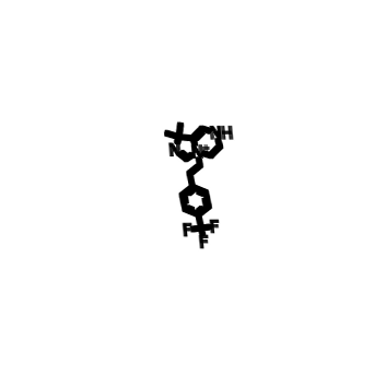 CC1(C)N=C[N+]2(CCc3ccc(C(F)(F)F)cc3)CCNC=C12